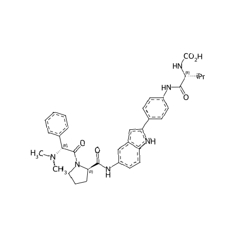 CC(C)[C@@H](NC(=O)O)C(=O)Nc1ccc(-c2cc3cc(NC(=O)[C@H]4CCCN4C(=O)[C@@H](c4ccccc4)N(C)C)ccc3[nH]2)cc1